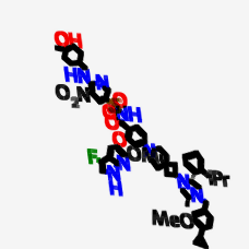 COc1cc(CN2C[C@@H](c3ccccc3C(C)C)N(C3CC4(CCN(c5ccc(C(=O)NS(=O)(=O)c6cnc(NCC7CCC(C)(O)CC7)c([N+](=O)[O-])c6)c(Oc6cc7c(F)c[nH]c7nc6OC)c5)CC4)C3)C[C@@H]2C)ccc1C1CC1